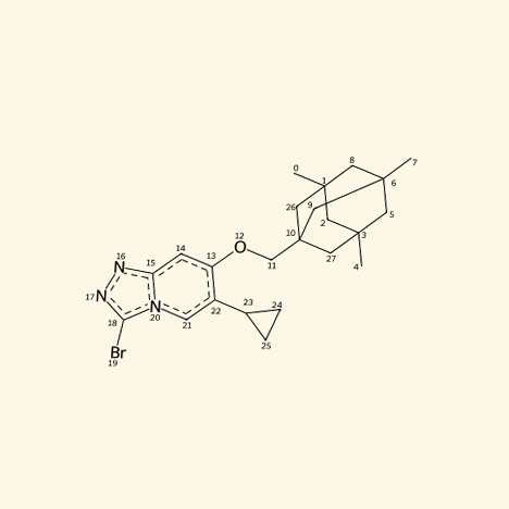 CC12CC3(C)CC(C)(C1)CC(COc1cc4nnc(Br)n4cc1C1CC1)(C2)C3